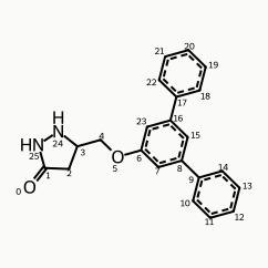 O=C1CC(COc2cc(-c3ccccc3)cc(-c3ccccc3)c2)NN1